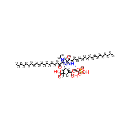 CC1(C(=O)O)C=CC=C(C(=O)O)C1.CCCCCCCCCCCCCCCCCC(=O)C1=NC(N)(C(=O)CCCCCCCCCCCCCCCCC)CN1CC.COS(=O)(=O)O